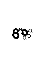 COc1cc(/N=C2/CCc3ccccc32)cc(OC)c1OC